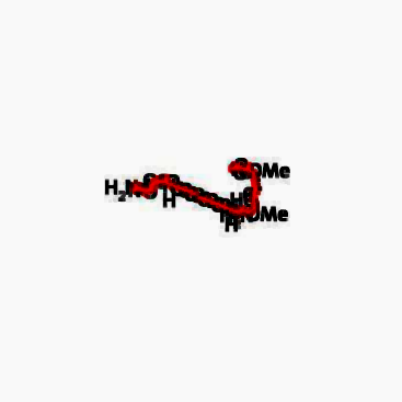 C/C=S(\CCNC(=O)CCOCCOCCOCCOCCOCCOCCOCCOCCNC(=S)O[C@H]1CC[C@H](C[C@@H](N)C(CCC(C)/C=C(\C)[C@@H](O)CC(=O)[C@H](C)C[C@H](C)/C=C/C=C/C=C(\C)[C@H](CC2CCCC(C(=O)C(=O)N3CCCCC3)O2)OC)OC)CC1)c1ccc(C(=O)N2CCOc3ccc(-c4ccc(N)nc4)cc3C2)c(C)c1